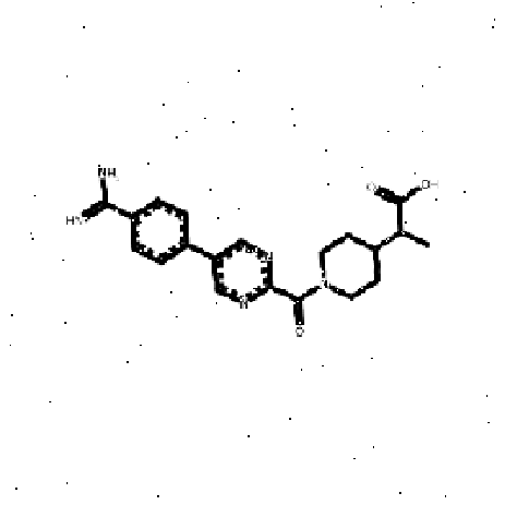 CC(C(=O)O)C1CCN(C(=O)c2ncc(-c3ccc(C(=N)N)cc3)cn2)CC1